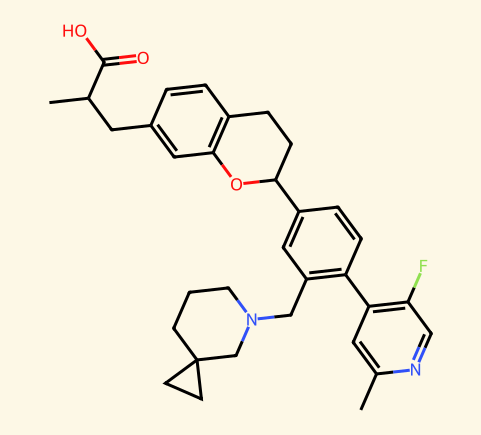 Cc1cc(-c2ccc(C3CCc4ccc(CC(C)C(=O)O)cc4O3)cc2CN2CCCC3(CC3)C2)c(F)cn1